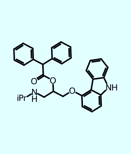 CC(C)NCC(COc1cccc2[nH]c3ccccc3c12)OC(=O)C(c1ccccc1)c1ccccc1